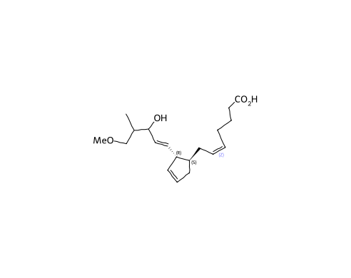 COCC(C)C(O)C=C[C@H]1C=CC[C@@H]1C/C=C\CCCC(=O)O